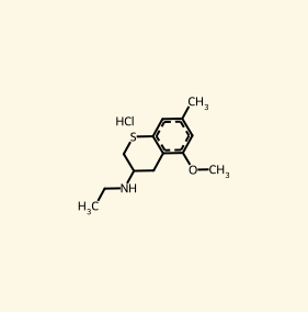 CCNC1CSc2cc(C)cc(OC)c2C1.Cl